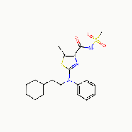 Cc1sc(N(CCC2CCCCC2)c2ccccc2)nc1C(=O)NS(C)(=O)=O